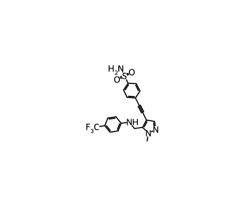 Cn1ncc(C#Cc2ccc(S(N)(=O)=O)cc2)c1CNc1ccc(C(F)(F)F)cc1